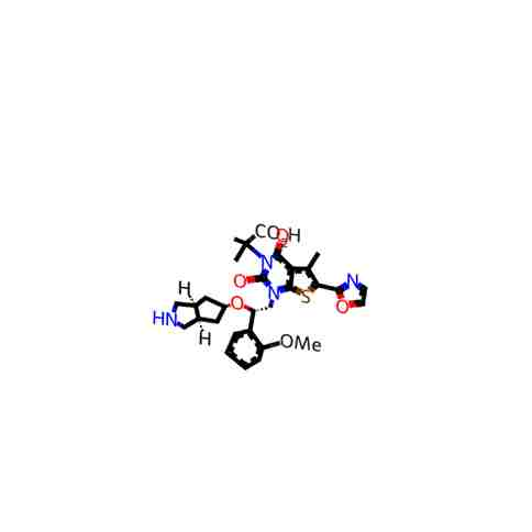 COc1ccccc1[C@@H](Cn1c(=O)n(C(C)(C)C(=O)O)c(=O)c2c(C)c(-c3ncco3)sc21)O[C@H]1C[C@H]2CNC[C@H]2C1